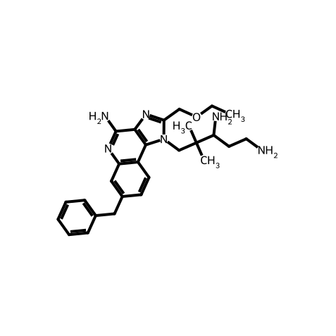 CCOCc1nc2c(N)nc3cc(Cc4ccccc4)ccc3c2n1CC(C)(C)C(N)CCN